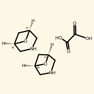 C1NC[C@H]2C[C@@H]1O2.C1NC[C@H]2C[C@@H]1O2.O=C(O)C(=O)O